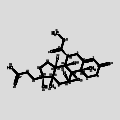 COC(=O)[C@@H]1CC2=CC(=O)CC[C@]2(C)C23O[C@@H]2C[C@@]2(C)[C@@H](CC[C@]2(O)CCC(=O)O)[C@H]13